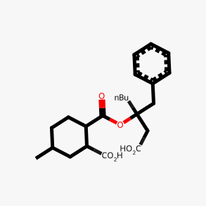 CCCCC(CC(=O)O)(Cc1ccccc1)OC(=O)C1CCC(C)CC1C(=O)O